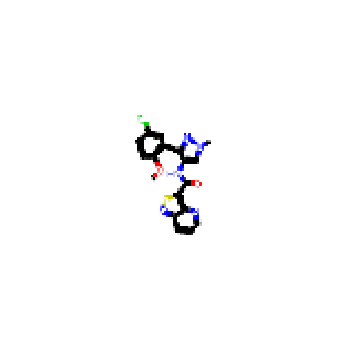 COc1ccc(Cl)cc1-c1nn(C)cc1NC(=O)c1snc2cccnc12